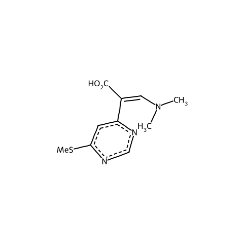 CSc1cc(/C(=C\N(C)C)C(=O)O)ncn1